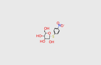 O=[N+]([O-])c1ccc(S[C@H]2O[C@H](CO)[C@H](O)[C@H](O)[C@H]2O)cc1